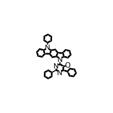 c1ccc(-c2nc(-n3c4ccccc4c4cc5c(cc43)c3ccccc3n5-c3ccccc3)c3oc4ccccc4c3n2)cc1